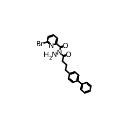 NN(C(=O)CCCc1ccc(-c2ccccc2)cc1)C(=O)c1cccc(Br)n1